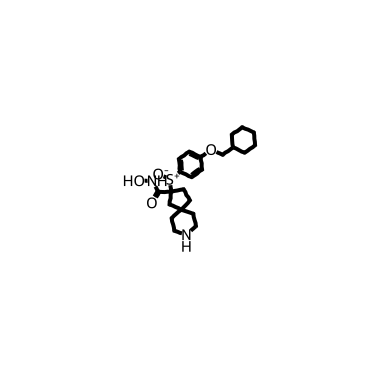 O=C(NO)C1([S+]([O-])c2ccc(OCC3CCCCC3)cc2)CCC2(CCNCC2)C1